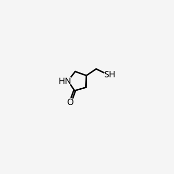 O=C1CC(CS)CN1